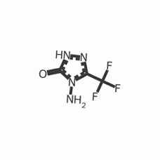 Nn1c(C(F)(F)F)n[nH]c1=O